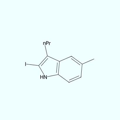 CCCc1c(I)[nH]c2ccc(C)cc12